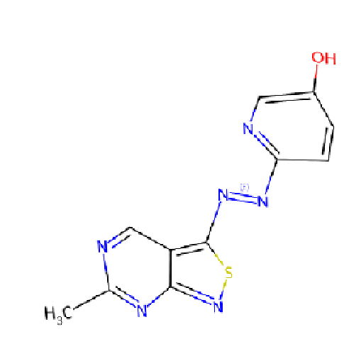 Cc1ncc2c(/N=N/c3ccc(O)cn3)snc2n1